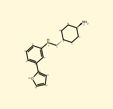 N[C@H]1CC[C@H](CNc2cccc(-c3ccco3)c2)CC1